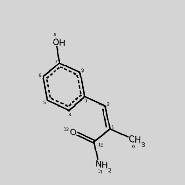 CC(=Cc1cccc(O)c1)C(N)=O